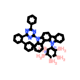 BC/C(B)=C(B)\C(=C(\B)C(B)=C)n1c2ccccc2c2ccc3c(c4ccccc4n3-c3nc(-c4ccccc4)nc(-c4ccccc4-c4ccccc4)n3)c21